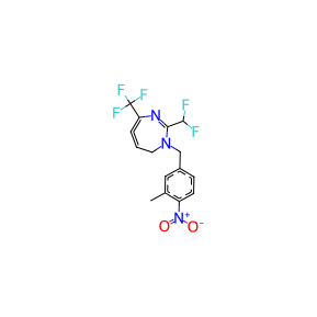 Cc1cc(CN2CC=C=C(C(F)(F)F)N=C2C(F)F)ccc1[N+](=O)[O-]